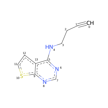 C#CCCNc1ncnc2sccc12